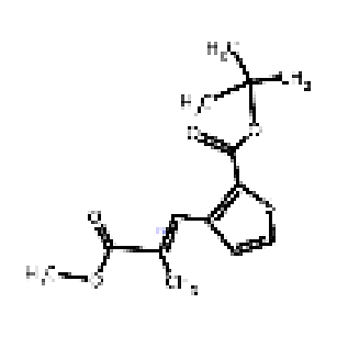 COC(=O)/C(C)=C/c1ccsc1C(=O)OC(C)(C)C